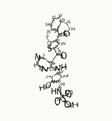 Cc1sc(C(=O)c2cncnc2N[C@@H]2C[C@H](CNS(=O)(=O)O)[C@@H](O)C2)cc1[C@H]1OCCc2ccccc21